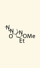 CCc1cc(C(=O)N=CN(C)C)c(C)nc1OC